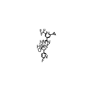 N=C(/N=C\NCC(C(=O)O)c1ccc(F)nc1)c1cc(C2CC2)nc(C(F)(F)F)c1